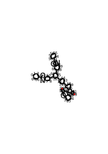 c1ccc(-c2nc3ccc(-c4cc(-c5ccc(-c6ccc7c(c6)C6(c8ccccc8Oc8ccccc86)c6ccccc6-7)cc5)cc(-c5ccc6nc(-c7ccccc7)oc6c5)c4)cc3o2)cc1